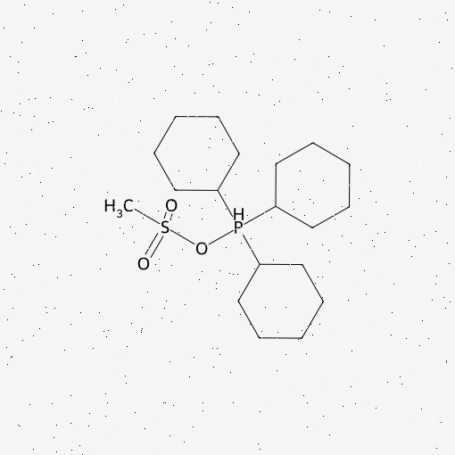 CS(=O)(=O)O[PH](C1CCCCC1)(C1CCCCC1)C1CCCCC1